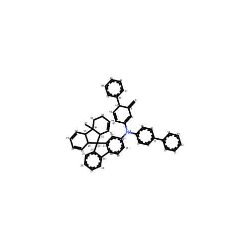 C=C1C=C(N(c2ccc(-c3ccccc3)cc2)c2ccc3c(c2)C2(c4ccccc4-3)C3C=CC=CC3C3(C)CCC=CC32)C=CC1c1ccccc1